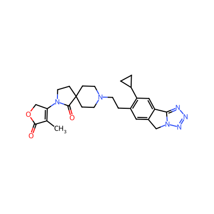 CC1=C(N2CCC3(CCN(CCc4cc5c(cc4C4CC4)-c4nnnn4C5)CC3)C2=O)COC1=O